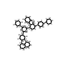 c1ccc(-c2ccc(-c3ccc(-c4nc(-c5ccccc5)nc(-c5ccc6c(c5)-c5cccc7cccc-6c57)n4)c4c3oc3ccccc34)cc2)cc1